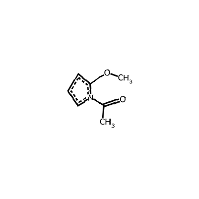 COc1cccn1C(C)=O